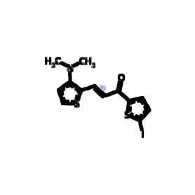 CN(C)c1ccsc1/C=C/C(=O)c1ccc(I)s1